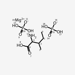 CCC(C)C(N)C(=O)O.O=P([O-])(O)O.O=P([O-])(O)O.[Mg+2]